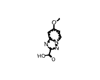 COc1ccn2nc(C(=O)O)nc2c1